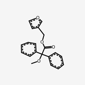 COC(C(=O)OCc1ccoc1)(c1ccccc1)c1ccccc1